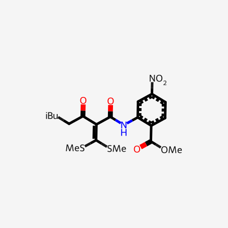 CCC(C)CC(=O)C(C(=O)Nc1cc([N+](=O)[O-])ccc1C(=O)OC)=C(SC)SC